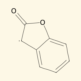 O=C1[CH]c2ccccc2O1